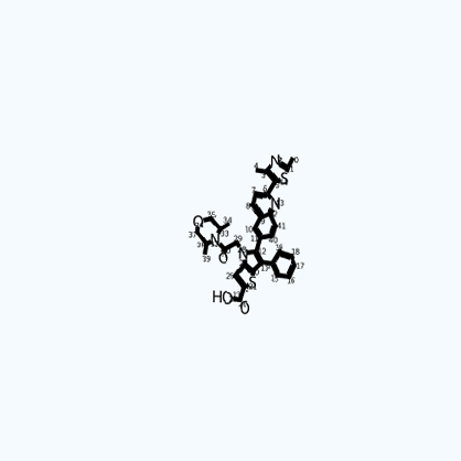 Cc1nc(C)c(-c2ccc3cc(-c4c(-c5ccccc5)c5sc(C(=O)O)cc5n4CC(=O)N4C(C)COCC4C)ccc3n2)s1